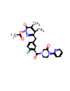 Cc1c(Cc2ccc(F)c(C(=O)N3CCN(c4ccccn4)C(=O)C3)c2)nn(OC(=O)C(F)(F)F)c(=O)c1C